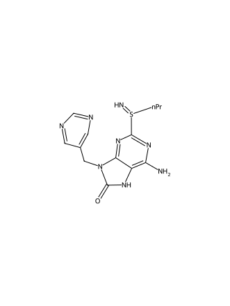 CCCS(=N)c1nc(N)c2[nH]c(=O)n(Cc3cncnc3)c2n1